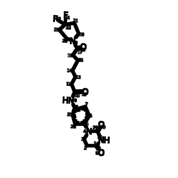 O=C1CCN(c2ccc(NC(=O)CCCCCC(=O)N3CCC(F)(F)CC3)cc2)C(=O)N1